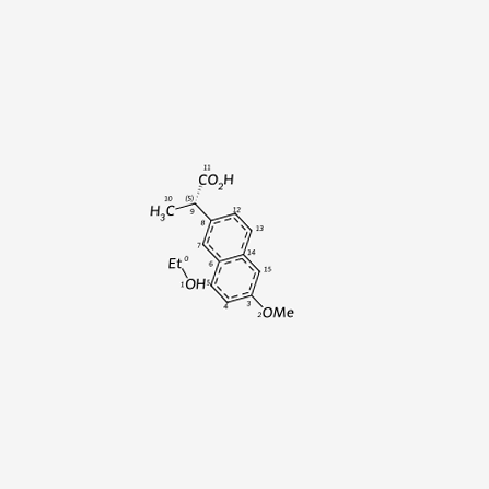 CCO.COc1ccc2cc([C@H](C)C(=O)O)ccc2c1